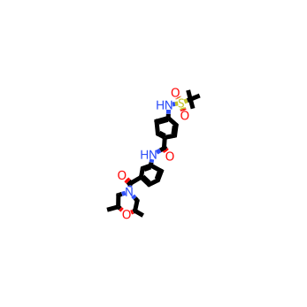 CC1CN(C(=O)c2cccc(NC(=O)c3ccc(NS(=O)(=O)C(C)(C)C)cc3)c2)CC(C)O1